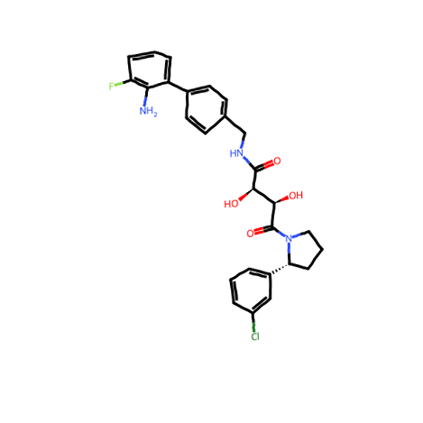 Nc1c(F)cccc1-c1ccc(CNC(=O)[C@H](O)[C@@H](O)C(=O)N2CCC[C@@H]2c2cccc(Cl)c2)cc1